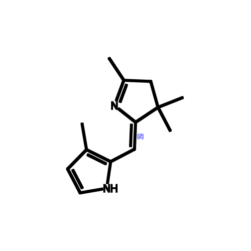 CC1=N/C(=C\c2[nH]ccc2C)C(C)(C)C1